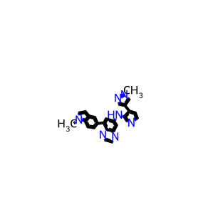 Cn1cc(-c2ccncc2Nc2cc(-c3ccc4c(ccn4C)c3)c3nccnc3c2)cn1